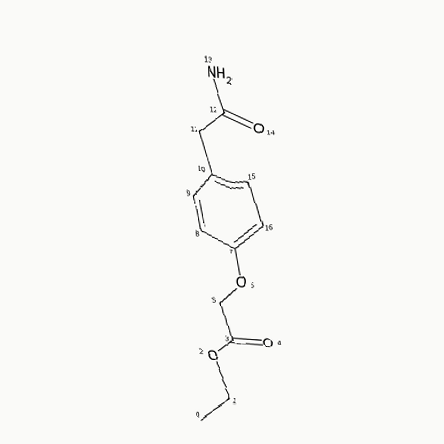 CCOC(=O)COc1ccc(CC(N)=O)cc1